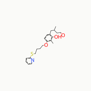 Cc1c(OCCCCSc2ccccn2)ccc(CC(C)CC=O)c1O